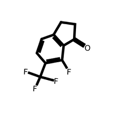 O=C1CCc2ccc(C(F)(F)F)c(F)c21